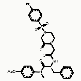 COc1ccc(N(C)C(=O)[C@H](Cc2ccccc2)NC(=O)CN2CCN(S(=O)(=O)c3ccc(Br)cc3)CC2=O)cc1